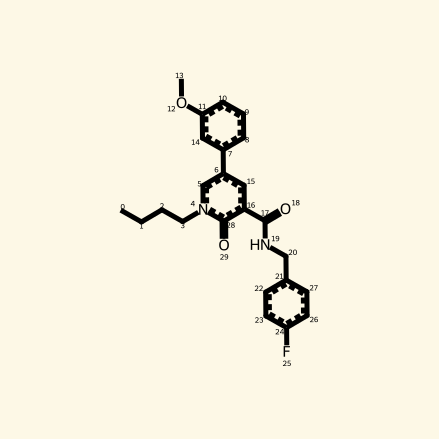 CCCCn1cc(-c2cccc(OC)c2)cc(C(=O)NCc2ccc(F)cc2)c1=O